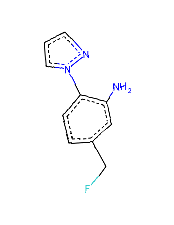 Nc1cc(CF)ccc1-n1cccn1